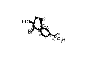 CC(C(=O)O)c1ccc2c(Br)c(O)ccc2c1